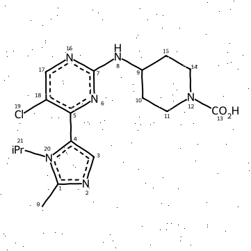 Cc1ncc(-c2nc(NC3CCN(C(=O)O)CC3)ncc2Cl)n1C(C)C